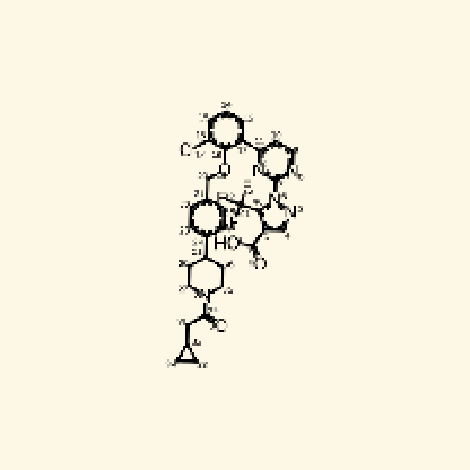 O=C(O)c1cnn(-c2nccc(-c3cccc(Cl)c3OCc3ccc(C4CCN(C(=O)CC5CC5)CC4)cc3)n2)c1C(F)(F)F